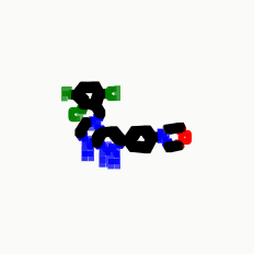 Fc1ccc(Cl)c(CN2CCNC3=C2C=C(c2ccc(N4CCOCC4)cc2)NN3)c1Cl